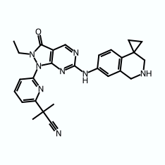 CCn1c(=O)c2cnc(Nc3ccc4c(c3)CNCC43CC3)nc2n1-c1cccc(C(C)(C)C#N)n1